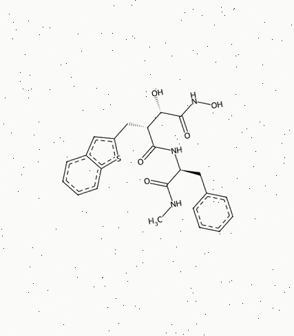 CNC(=O)[C@H](Cc1ccccc1)NC(=O)[C@H](Cc1cc2ccccc2s1)[C@H](O)C(=O)NO